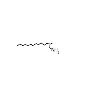 CCCCCCCCCCCCC(C)CN